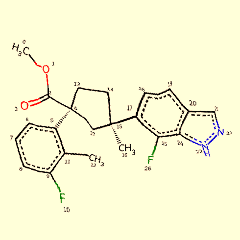 COC(=O)[C@@]1(c2cccc(F)c2C)CC[C@@](C)(c2ccc3cn[nH]c3c2F)C1